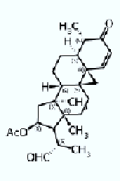 CC(=O)O[C@H]1C[C@@]2(C)[C@@H]3CC[C@H]4[C@H](C)C(=O)C=C[C@@]45C[C@@]35CC[C@]2(C)C1[C@H](C)C=O